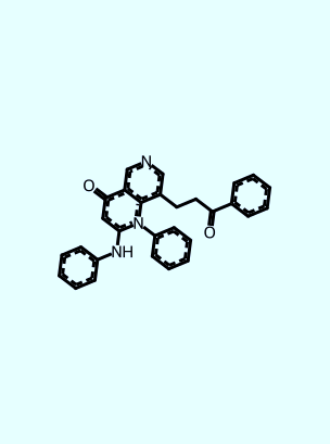 O=C(CCc1cncc2c(=O)cc(Nc3ccccc3)n(-c3ccccc3)c12)c1ccccc1